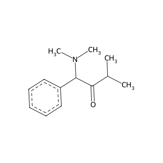 CC(C)C(=O)C(c1ccccc1)N(C)C